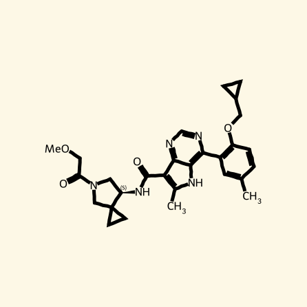 COCC(=O)N1C[C@@H](NC(=O)c2c(C)[nH]c3c(-c4cc(C)ccc4OCC4CC4)ncnc23)C2(CC2)C1